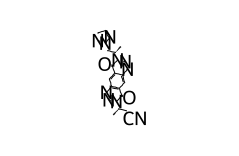 C[C@H](CC#N)n1nnc2cc3c(=O)n([C@H](C)Cn4nccn4)nnc3cc2c1=O